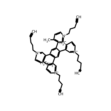 C#CCCC[n+]1ccc(C)c(-c2cc(-c3c[n+](CCCC#C)ccc3C)c(-c3c[n+](CCCC#C)ccc3C)cc2-c2c[n+](CCCC#C)ccc2C)c1